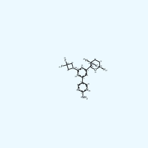 Nc1ncc(-c2cc(N3C[C@@H]4CC[C@H]3CO4)nc(N3CC(F)(F)C3)n2)cn1